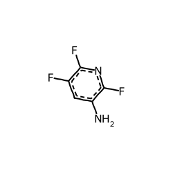 Nc1cc(F)c(F)nc1F